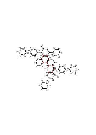 C=C(/C=C(\C(=C\c1ccccc1)c1ccc(N(c2ccc(-c3ccccc3)cc2)C(C)/C=C\C(=C/CC)c2ccccc2)cc1)c1ccccc1)N(c1ccc(-c2ccccc2)cc1)c1ccc(-c2ccccc2)cc1